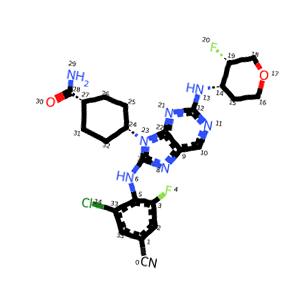 N#Cc1cc(F)c(Nc2nc3cnc(N[C@H]4CCOC[C@H]4F)nc3n2[C@H]2CC[C@@H](C(N)=O)CC2)c(Cl)c1